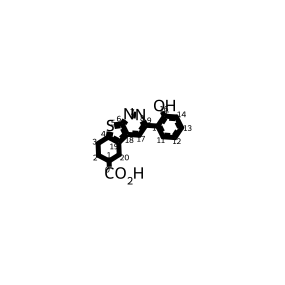 O=C(O)C1CCc2sc3nnc(-c4ccccc4O)cc3c2C1